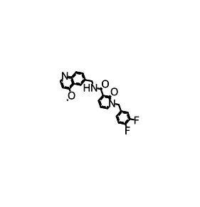 COc1ccnc2ccc(CNC(=O)c3cccn(Cc4ccc(F)c(F)c4)c3=O)cc12